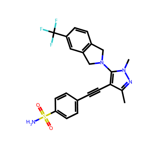 Cc1nn(C)c(N2Cc3ccc(C(F)(F)F)cc3C2)c1C#Cc1ccc(S(N)(=O)=O)cc1